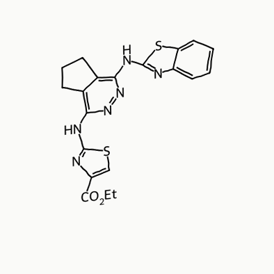 CCOC(=O)c1csc(Nc2nnc(Nc3nc4ccccc4s3)c3c2CCC3)n1